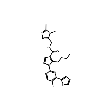 CCCCc1c(C(=O)NCc2nnc(C)n2C)cnn1-c1ncc(C)c(-c2cccs2)n1